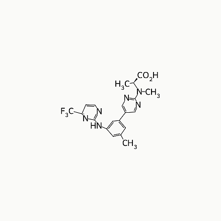 Cc1cc(Nc2nccc(C(F)(F)F)n2)cc(-c2cnc(N(C)[C@@H](C)C(=O)O)nc2)c1